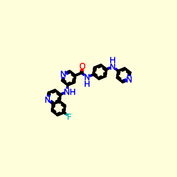 O=C(Nc1ccc(Nc2ccncc2)cc1)c1cncc(Nc2ccnc3ccc(F)cc23)c1